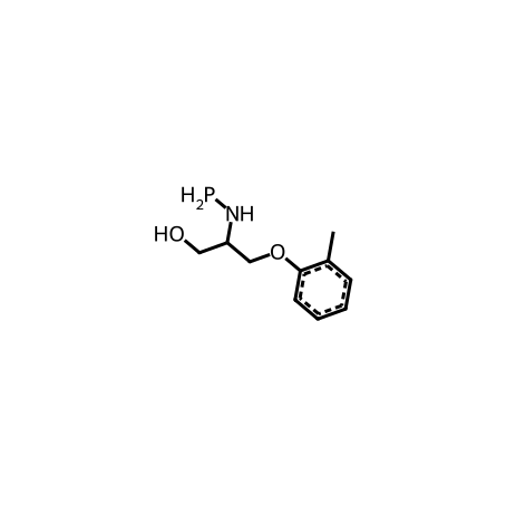 Cc1ccccc1OCC(CO)NP